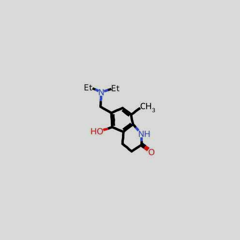 CCN(CC)Cc1cc(C)c2c(c1O)CCC(=O)N2